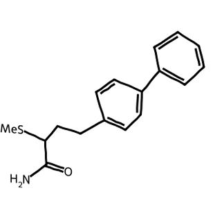 CSC(CCc1ccc(-c2ccccc2)cc1)C(N)=O